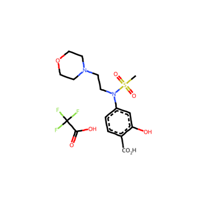 CS(=O)(=O)N(CCN1CCOCC1)c1ccc(C(=O)O)c(O)c1.O=C(O)C(F)(F)F